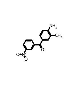 Cc1cc(C(=O)c2cccc([N+](=O)[O-])c2)ccc1N